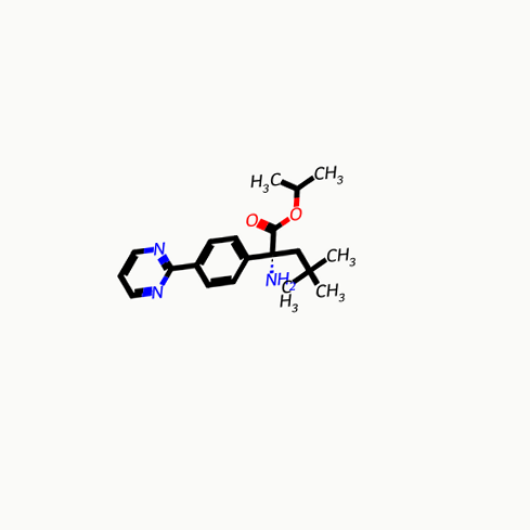 CC(C)OC(=O)[C@@](N)(CC(C)(C)C)c1ccc(-c2ncccn2)cc1